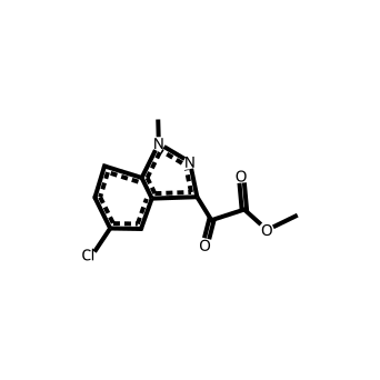 COC(=O)C(=O)c1nn(C)c2ccc(Cl)cc12